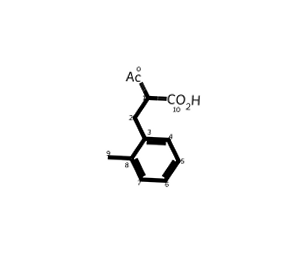 CC(=O)C(Cc1ccccc1C)C(=O)O